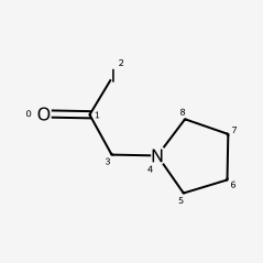 O=C(I)CN1CCCC1